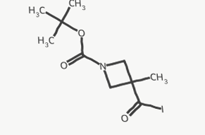 CC(C)(C)OC(=O)N1CC(C)(C(=O)I)C1